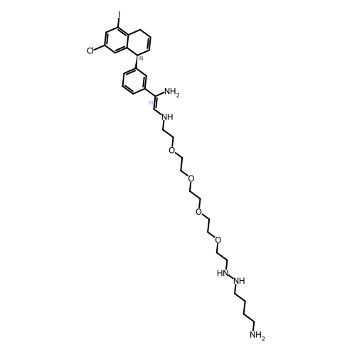 NCCCCNNCCOCCOCCOCCOCCN/C=C(\N)c1cccc([C@@H]2C=CCc3c(I)cc(Cl)cc32)c1